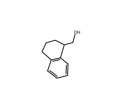 OCC1CCCc2[c]cccc21